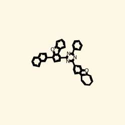 C1=Cc2oc3cc(-c4nc(-c5ccccc5)nc(-c5ccc(-c6ccc7ccccc7c6)c6oc7ccccc7c56)n4)ccc3c2C=CC1